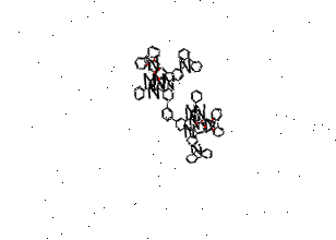 c1ccc(-c2nc(-c3ccccc3)nc(-c3cc(-c4cccc(-c5ccc(-n6c7ccc(-n8c9ccccc9c9ccccc98)cc7c7cc(-n8c9ccccc9c9ccccc98)ccc76)c(-c6nc(-c7ccccc7)nc(-c7ccccc7)n6)c5)c4)ccc3-n3c4ccc(-n5c6ccccc6c6ccccc65)cc4c4cc(-n5c6ccccc6c6ccccc65)ccc43)n2)cc1